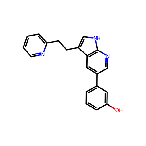 Oc1cccc(-c2cnc3[nH]cc(CCc4ccccn4)c3c2)c1